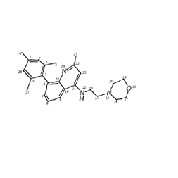 Cc1cc(C)c(-c2cccc3c(NCCN4CCOCC4)cc(C)nc23)c(C)c1